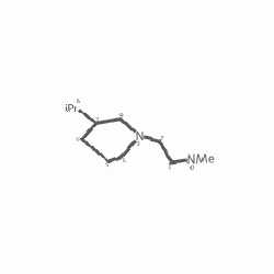 CNCCN1CCCC(C(C)C)C1